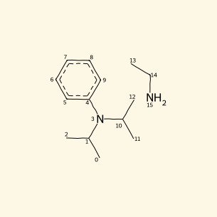 CC(C)N(c1ccccc1)C(C)C.CCN